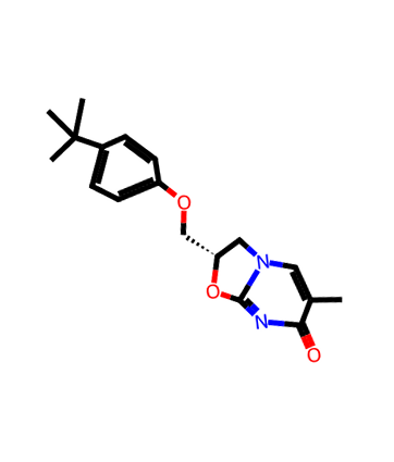 Cc1cn2c(nc1=O)O[C@H](COc1ccc(C(C)(C)C)cc1)C2